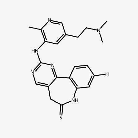 Cc1ncc(CCN(C)C)cc1Nc1ncc2c(n1)-c1ccc(Cl)cc1NC(=S)C2